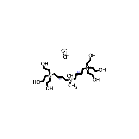 C[N+](C)(C/C=C/C[N+](CCO)(CCO)CCO)C/C=C/C[N+](CCO)(CCO)CCO.[Cl-].[Cl-].[Cl-]